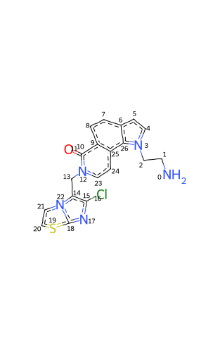 NCCn1ccc2ccc3c(=O)n(Cc4c(Cl)nc5sccn45)ccc3c21